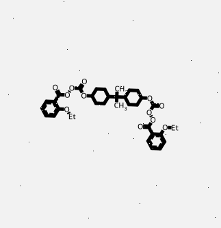 CCOc1ccccc1C(=O)OOC(=O)OC1CCC(C(C)(C)C2CCC(OC(=O)OOC(=O)c3ccccc3OCC)CC2)CC1